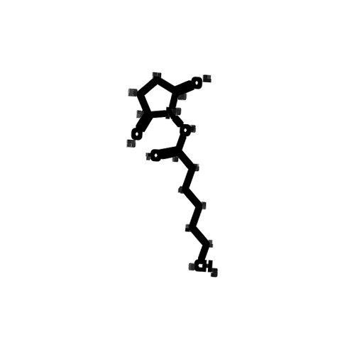 CCCCCCC(=O)ON1C(=O)CCC1=O